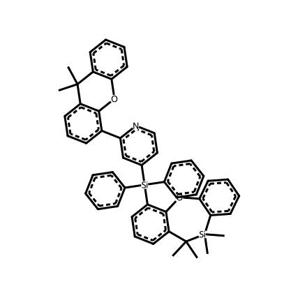 CC1(C)c2ccccc2Oc2c(-c3cc([Si](c4ccccc4)(c4ccccc4)c4cccc5c4Oc4ccccc4[Si](C)(C)C5(C)C)ccn3)cccc21